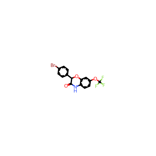 O=C1Nc2ccc(OC(F)(F)F)cc2OC1c1ccc(Br)cc1